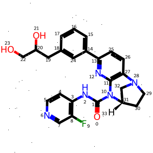 O=C(Nc1ccncc1F)N1c2nc(-c3cccc(CC(O)CO)c3)ccc2N2CC[C@H]1C2